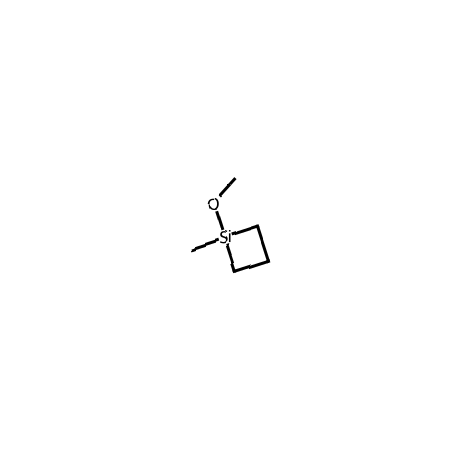 CO[Si]1(C)CCC1